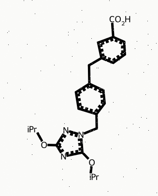 CC(C)Oc1nc(OC(C)C)n(Cc2ccc(Cc3cccc(C(=O)O)c3)cc2)n1